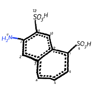 Nc1cc2cccc(S(=O)(=O)O)c2cc1S(=O)(=O)O